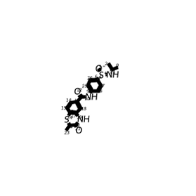 CC(C)N[S+]([O-])c1ccc(NC(=O)c2ccc3c(c2)NC(=O)C(C)S3)cc1